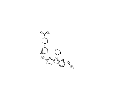 COc1ccc2c3cnc(Nc4ccc(N5CCN(C(=O)O)CC5)cn4)nc3n(C3CCCC3)c2n1